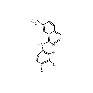 O=[N+]([O-])c1ccc2ncnc(Nc3ccc(F)c(Cl)c3F)c2c1